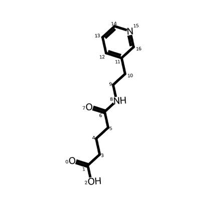 O=C(O)CCCC(=O)NCCc1cccnc1